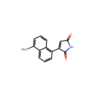 COc1cccc2c(C3=CC(=O)NC3=O)cccc12